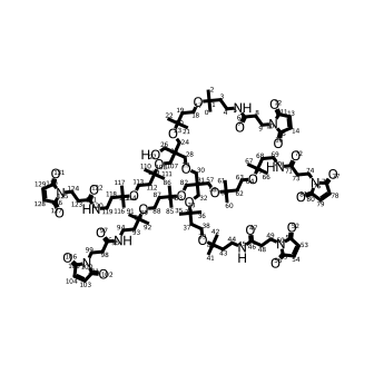 CC(C)(CCNC(=O)CCN1C(=O)C=CC1=O)OCCC(C)(C)OCC(CO)(COCC(COC(C)(C)CCOC(C)(C)CCNC(=O)CCN1C(=O)C=CC1=O)(COC(C)(C)CCOC(C)(C)CCNC(=O)CCN1C(=O)C=CC1=O)COC(C)(C)CCOC(C)(C)CCNC(=O)CCN1C(=O)C=CC1=O)COC(C)(C)CCOC(C)(C)CCNC(=O)CCN1C(=O)C=CC1=O